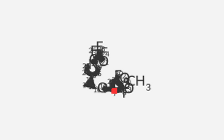 CS(=O)(=O)c1c(F)cc(COC[C@@H]2C[C@@H]2C2CCN(OC(=O)C(F)(F)F)CC2)cc1F